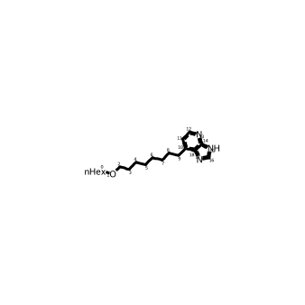 CCCCCCOCCCCCCCCc1ccnc2[nH]cnc12